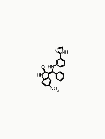 O=C1Nc2ccc([N+](=O)[O-])cc2C1=C(Nc1cccc(-c2ncc[nH]2)c1)c1ccccc1